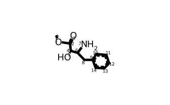 COC(=O)[C@H](O)C(N)Cc1ccccc1